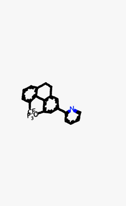 FC(F)(F)c1cccc2c1-c1c(cc(-c3ccccn3)cc1C(F)(F)F)CC2